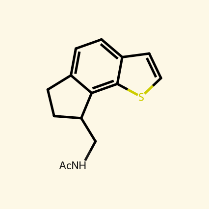 CC(=O)NCC1CCc2ccc3ccsc3c21